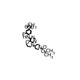 CC(C)OC(=O)N1CCC(N2CCCOc3c(Nc4ccc(S(C)(=O)=O)cc4F)ncnc32)CC1